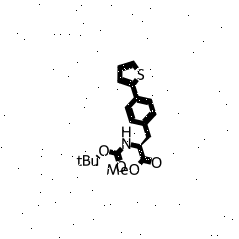 COC(=O)[C@H](Cc1ccc(-c2cccs2)cc1)NC(=O)OC(C)(C)C